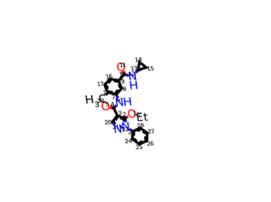 CCOc1c(C(=O)Nc2cc(C(=O)NC3CC3)ccc2C)cnn1-c1ccccc1